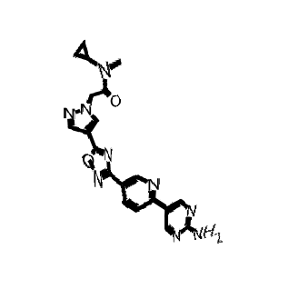 CN(C(=O)Cn1cc(-c2nc(-c3ccc(-c4cnc(N)nc4)nc3)no2)cn1)C1CC1